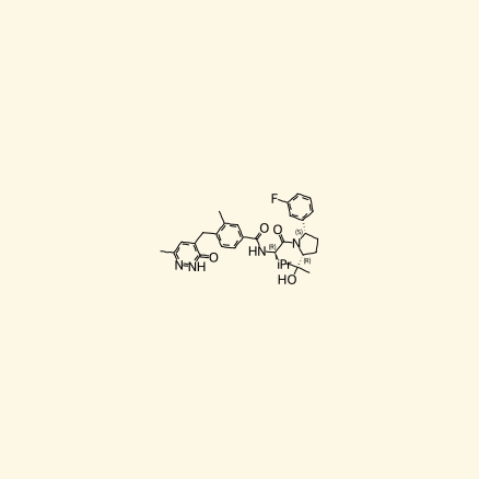 Cc1cc(Cc2ccc(C(=O)N[C@@H](C(=O)N3[C@H](c4cccc(F)c4)CC[C@@H]3C(C)(C)O)C(C)C)cc2C)c(=O)[nH]n1